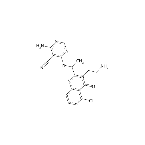 CC(Nc1ncnc(N)c1C#N)c1nc2cccc(Cl)c2c(=O)n1CCN